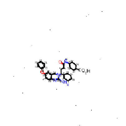 CN(C(=O)CCC(C1CCCCC1)N1Cc2cc(Oc3ccccc3)ccc2N=C1N)C1CCC(C(=O)O)CC1